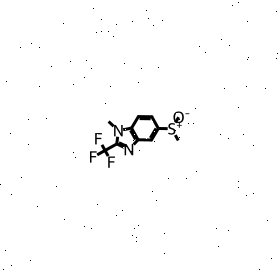 Cn1c(C(F)(F)F)nc2cc([S+](C)[O-])ccc21